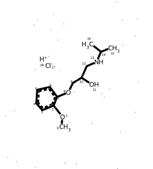 COc1ccccc1OCC(O)CNC(C)C.[Cl-].[H+]